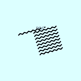 CCCCCCCCCCCC.CCCCCCCCCCCC.CCCCCCCCCCCC.CCCCCCCCCCCC.CCCCCCCCCCCC.CCCCCCCCCCCC.CCCCCCCCCCCC.CCCCCCCCCCCC.CCCCCCCCCCCC.CCOC(C)=O